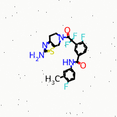 Cc1cc(NC(=O)c2ccc(F)c(C(F)(F)C(=O)N3CCc4nc(N)sc4C3)c2)ccc1F